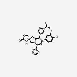 O=C1N[C@@]2(CO1)CC1=C(c3cnn(C(F)F)c3)[C@@H](c3ccc(Cl)c(F)c3)N=C(c3nccs3)N1C2